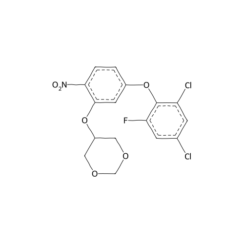 O=[N+]([O-])c1ccc(Oc2c(F)cc(Cl)cc2Cl)cc1OC1COCOC1